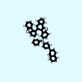 c1ccc(N(c2ccc(-c3ccc4ccccc4c3)cc2)c2ccc3oc4c5ccccc5cc(-c5cccc6oc7ccccc7c56)c4c3c2)cc1